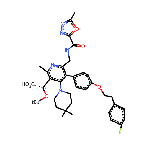 Cc1nnc(C(=O)NCc2nc(C)c([C@H](OC(C)(C)C)C(=O)O)c(N3CCC(C)(C)CC3)c2-c2ccc(OCCc3ccc(F)cc3)cc2)o1